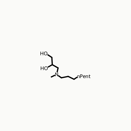 CCCCCCCCN(C)CC(O)CO